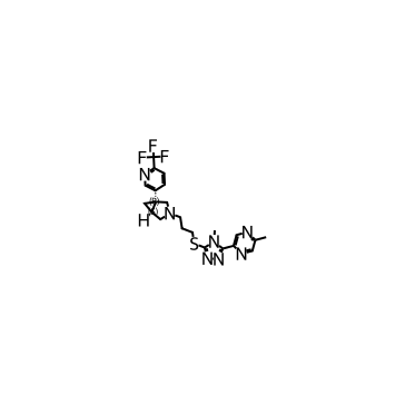 Cc1cnc(-c2nnc(SCCCN3C[C@H]4C[C@@]4(c4ccc(C(F)(F)F)nc4)C3)n2C)cn1